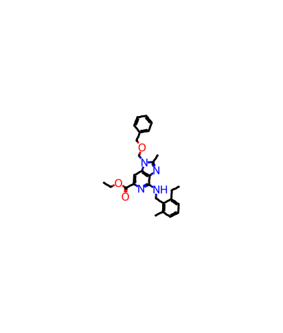 CCOC(=O)c1cc2c(nc(C)n2COCc2ccccc2)c(NCc2c(C)cccc2CC)n1